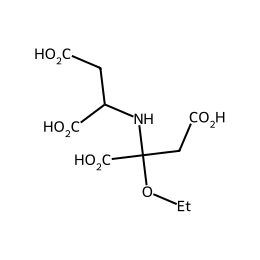 CCOC(CC(=O)O)(NC(CC(=O)O)C(=O)O)C(=O)O